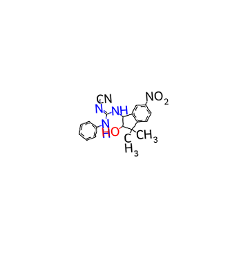 CC1(C)c2ccc([N+](=O)[O-])cc2C(N/C(=N\C#N)Nc2ccccc2)C1O